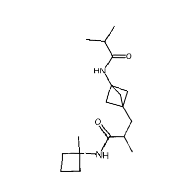 CC(C)C(=O)NC12CC(CC(C)C(=O)NC3(C)CCC3)(C1)C2